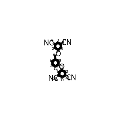 N#Cc1cc(C#N)cc(OCc2cccc(Oc3cc(C#N)cc(C#N)c3)c2)c1